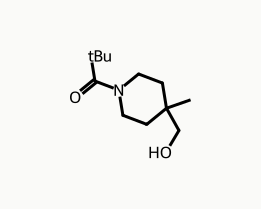 CC1(CO)CCN(C(=O)C(C)(C)C)CC1